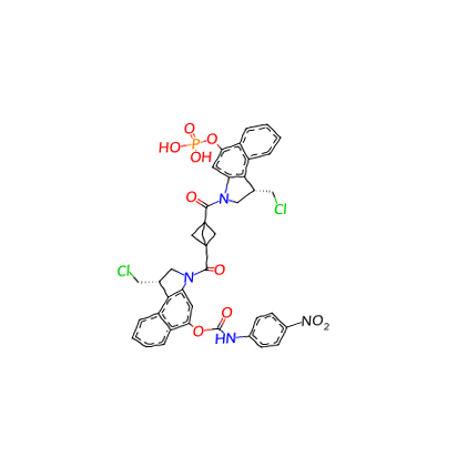 O=C(Nc1ccc([N+](=O)[O-])cc1)Oc1cc2c(c3ccccc13)[C@H](CCl)CN2C(=O)C12CC(C(=O)N3C[C@@H](CCl)c4c3cc(OP(=O)(O)O)c3ccccc43)(C1)C2